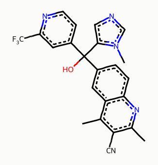 Cc1nc2ccc(C(O)(c3ccnc(C(F)(F)F)c3)c3cncn3C)cc2c(C)c1C#N